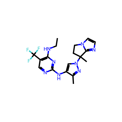 CCNc1nc(Nc2cn(C3(C)CCn4ccnc43)nc2C)ncc1C(F)(F)F